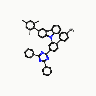 Cc1cc(C)c(-c2ccc3c(c2)c2ccccc2n3-c2cc(-c3nc(-c4ccccc4)nc(-c4ccccc4)n3)ccc2-c2ccc(C(F)(F)F)cc2)c(C)c1